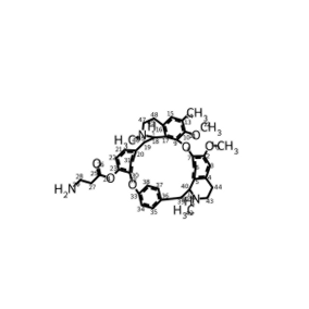 COc1cc2c3cc1Oc1c(OC)c(C)cc4c1[C@@H](Cc1ccc(OC(=O)CCN)c(c1)Oc1ccc(cc1)C[C@@H]3N(C)CC2)N(C)CC4